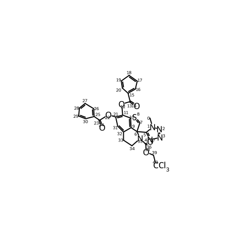 Cn1nnnc1C1(C=S)c2cc(OC(=O)c3ccccc3)c(OC(=O)c3ccccc3)cc2CCN1C(=O)OCC(Cl)(Cl)Cl